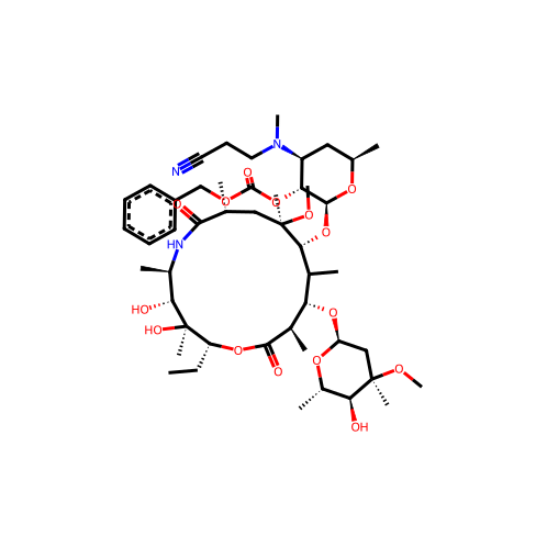 CC[C@H]1OC(=O)[C@H](C)[C@@H](O[C@H]2C[C@@](C)(OC)[C@@H](O)[C@H](C)O2)C(C)[C@@H](O[C@@H]2O[C@H](C)C[C@H](N(C)CCC#N)[C@H]2OC(=O)OCc2ccccc2)[C@](C)(OC)C[C@@H](C)C(=O)N[C@H](C)[C@@H](O)[C@]1(C)O